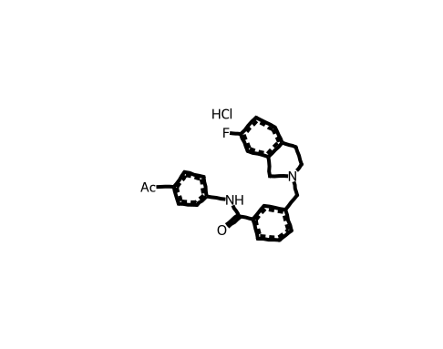 CC(=O)c1ccc(NC(=O)c2cccc(CN3CCc4ccc(F)cc4C3)c2)cc1.Cl